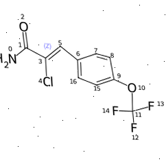 NC(=O)/C(Cl)=C/c1ccc(OC(F)(F)F)cc1